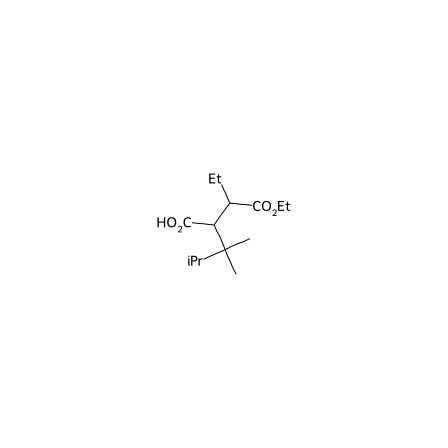 CCOC(=O)C(CC)C(C(=O)O)C(C)(C)C(C)C